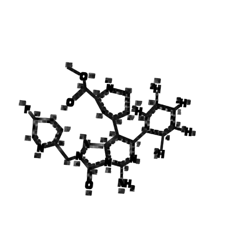 [2H]c1c([2H])c([2H])c(-c2nc(N)n3c(=O)n(Cc4ccc(F)cn4)nc3c2-c2ccnc(C(=O)OC)c2)c([2H])c1[2H]